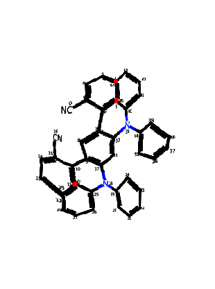 N#Cc1ccccc1-c1cc(-c2ccccc2C#N)c(N(c2ccccc2)c2ccccc2)cc1N(c1ccccc1)c1ccccc1